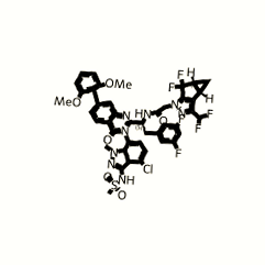 COc1cccc(OC)c1-c1ccc2c(=O)n(C3=CC=C(Cl)C4C(NS(C)(=O)=O)=NN(C)C34)c([C@H](Cc3cc(F)cc(F)c3)NC(=O)Cn3nc(C(F)F)c4c3C(F)(F)[C@@H]3C[C@H]43)nc2c1